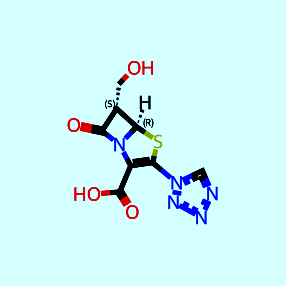 O=C(O)C1=C(n2cnnn2)S[C@@H]2[C@@H](CO)C(=O)N12